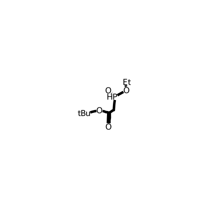 CCO[PH](=O)CC(=O)OC(C)(C)C